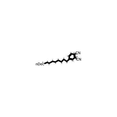 CCCCCCCCCCCCCCCCCCc1ccc(C#N)c(C#N)c1